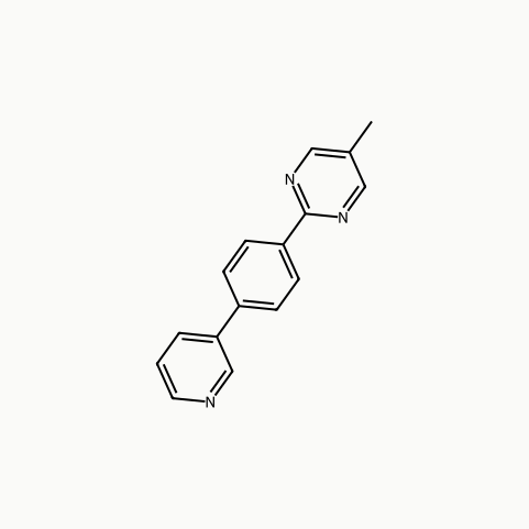 Cc1cnc(-c2ccc(-c3cccnc3)cc2)nc1